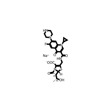 C[C@@H](O)[C@@H]1C(=O)N2C(C(=O)[O-])=C(CNC(=O)c3cn(C4CC4)c4cc(N5CCNCC5)c(F)cc4c3=O)S[C@H]12.[Na+]